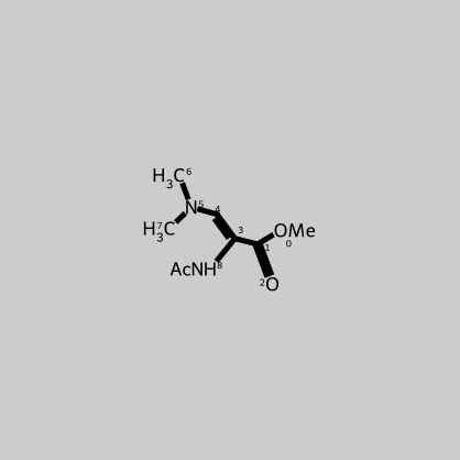 COC(=O)C(=CN(C)C)NC(C)=O